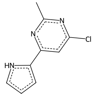 Cc1nc(Cl)cc(-c2ccc[nH]2)n1